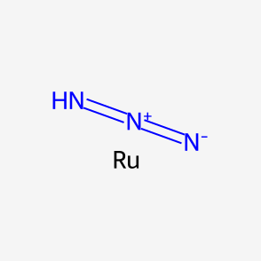 [N-]=[N+]=N.[Ru]